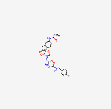 CNC(=O)Nc1ccc2c(c1)CC(=O)[C@]21OCN(CC(=O)N[C@@H](C)C(=O)NCc2ccc(F)cc2)C1=O